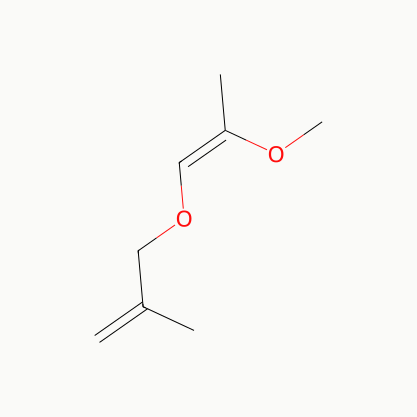 C=C(C)COC=C(C)OC